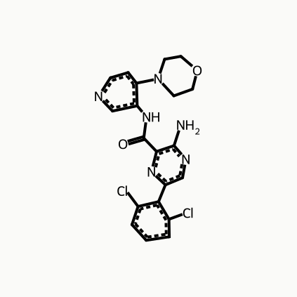 Nc1ncc(-c2c(Cl)cccc2Cl)nc1C(=O)Nc1cnccc1N1CCOCC1